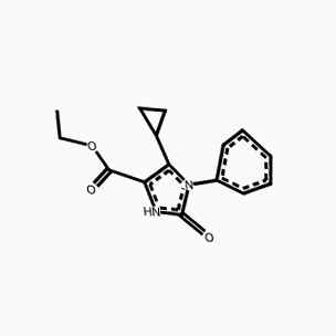 CCOC(=O)c1[nH]c(=O)n(-c2ccccc2)c1C1CC1